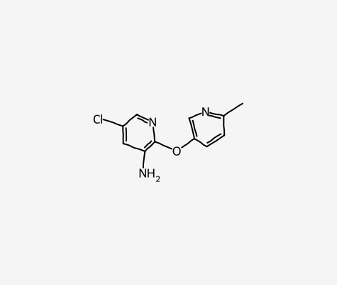 Cc1ccc(Oc2ncc(Cl)cc2N)cn1